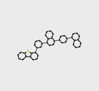 c1cc(-c2ccc(-c3ccc(-c4cccc5ccccc45)cc3)c3ccccc23)cc(-c2cccc3c2sc2ccccc23)c1